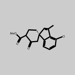 COC(=O)C1CC[C@@]2(C=C(C)c3c(Cl)cccc32)CC1=O